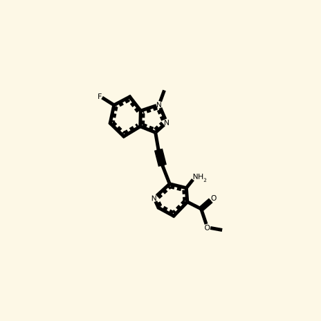 COC(=O)c1ccnc(C#Cc2nn(C)c3cc(F)ccc23)c1N